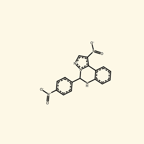 O=[N+]([O-])c1ccc(C2Nc3ccccc3-c3c([N+](=O)[O-])cnn32)cc1